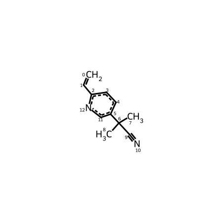 C=Cc1ccc(C(C)(C)C#N)cn1